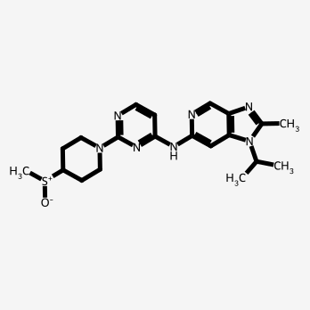 Cc1nc2cnc(Nc3ccnc(N4CCC([S+](C)[O-])CC4)n3)cc2n1C(C)C